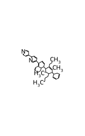 CCCCC1C(C)C(C2C=CC(c3ccc(-c4ccncc4)nc3)=C3C=CCCC32)C(CCC)=C(C)C1C1C=CC=CC1